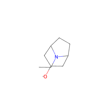 CCN1C2CCC1CC([O])C2